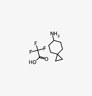 NC1CCC2(CC1)CC2.O=C(O)C(F)(F)F